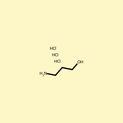 Cl.Cl.Cl.NCCCO